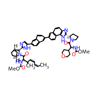 C=C(/C=C\C=C/C)[C@@H](NC(=O)OC)C(=O)N1[C@@H]2CC[C@@H](C2)[C@H]1c1ncc(-c2ccc3cc(-c4ccc5c(ccc6nc([C@@H]7CCCN7C(=O)[C@@H](NC(=O)OC)C7CCOCC7)[nH]c65)c4)ccc3c2)[nH]1